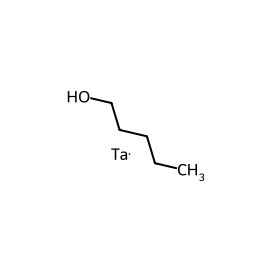 CCCCCO.[Ta]